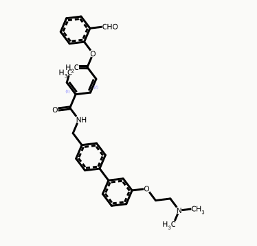 C=C(/C=C\C(=C/C)C(=O)NCc1ccc(-c2cccc(OCCN(C)C)c2)cc1)Oc1ccccc1C=O